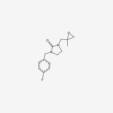 CC1(CN2CCN(Cc3ccc(F)cc3)C2=O)CO1